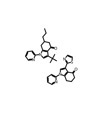 CCCC1CC(=O)c2c(C(C)(C)C)cn(-c3ccccn3)c2C1.O=C1CCCc2c1c(-c1nccs1)cn2-c1ccccn1